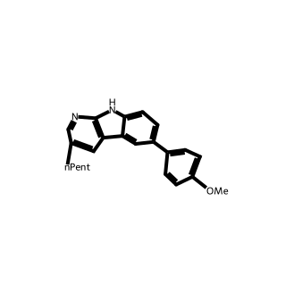 CCCCCc1cnc2[nH]c3ccc(-c4ccc(OC)cc4)cc3c2c1